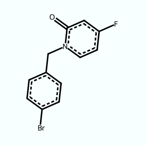 O=c1cc(F)ccn1Cc1ccc(Br)cc1